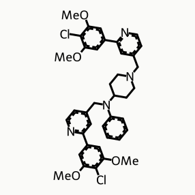 COc1cc(-c2cc(CN3CCC(N(Cc4ccnc(-c5cc(OC)c(Cl)c(OC)c5)c4)c4ccccc4)CC3)ccn2)cc(OC)c1Cl